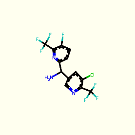 NC(c1cnc(C(F)(F)F)c(Cl)c1)c1ccc(F)c(C(F)(F)F)n1